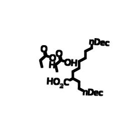 CCC(=O)O.CCC(=O)O.CCCCCCCCCCCCCCCCC(CCCCCCCCCCCC)C(=O)O